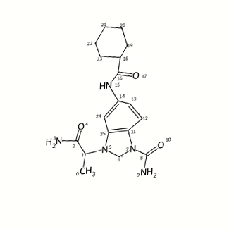 CC(C(N)=O)N1[CH]N(C(N)=O)c2ccc(NC(=O)C3CCCCC3)cc21